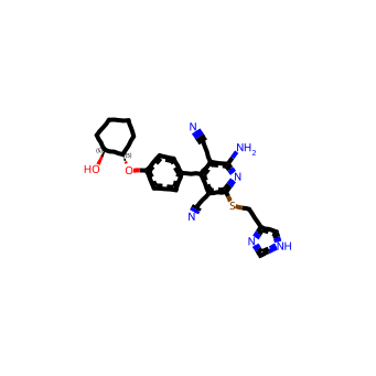 N#Cc1c(N)nc(SCc2c[nH]cn2)c(C#N)c1-c1ccc(O[C@H]2CCCC[C@@H]2O)cc1